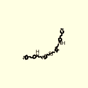 CN1C=CC(/C=C/c2ccc(NCCCn3cc[n+](CCSSCC[n+]4ccn(CCCNc5ccc(/C=C/c6cc[n+](C)cc6)cc5)c4)c3)cc2)=CC1